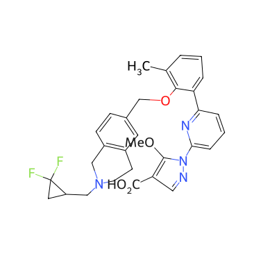 COc1c(C(=O)O)cnn1-c1cccc(-c2cccc(C)c2OCc2ccc3c(c2)CCN(CC2CC2(F)F)C3)n1